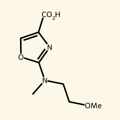 COCCN(C)c1nc(C(=O)O)co1